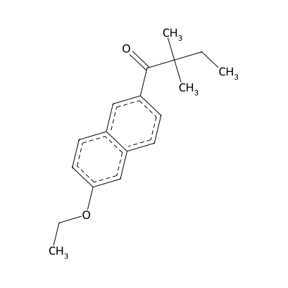 CCOc1ccc2cc(C(=O)C(C)(C)CC)ccc2c1